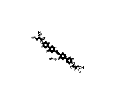 C=C(CO)C(=O)Oc1ccc(-c2ccc(C#Cc3ccc(-c4ccc(OC(=O)C(=C)CO)cc4)c(F)c3)c(CCCCCCC)c2)cc1